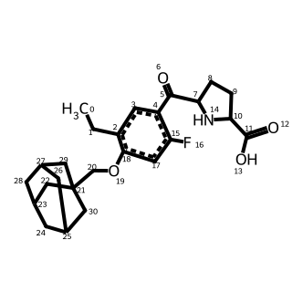 CCc1cc(C(=O)C2CCC(C(=O)O)N2)c(F)cc1OCC12CC3CC(CC(C3)C1)C2